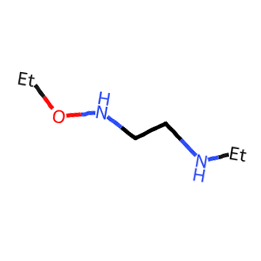 CCNCCNOCC